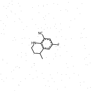 CC1CCNc2c(C#N)cc(F)cc21